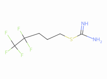 N=C(N)SCCCC(F)(F)C(F)(F)F